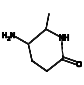 CC1NC(=O)CCC1N